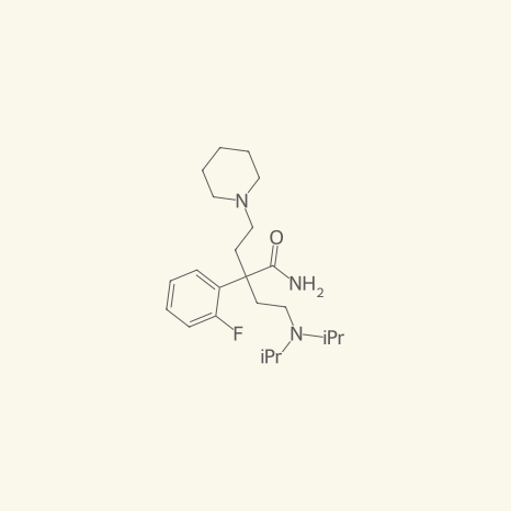 CC(C)N(CCC(CCN1CCCCC1)(C(N)=O)c1ccccc1F)C(C)C